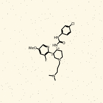 COc1cnc([C@@H]2CN(CCCN(C)C)CC[C@H]2NC(=O)Nc2ccc(Cl)cc2)c(F)c1